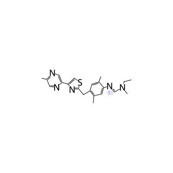 CCN(C)/C=N/c1cc(C)c(Cc2nc(-c3cnc(C)cn3)cs2)cc1C